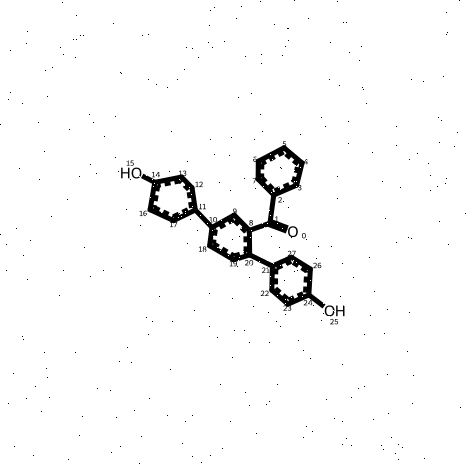 O=C(c1ccccc1)c1cc(-c2ccc(O)cc2)ccc1-c1ccc(O)cc1